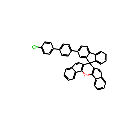 Clc1ccc(-c2ccc(-c3ccc4c(c3)C3(c5ccccc5-4)c4ccc5ccccc5c4Oc4c3ccc3ccccc43)cc2)cc1